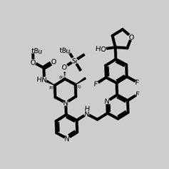 C[C@H]1CN(c2ccncc2NCc2ccc(F)c(-c3c(F)cc(C4(O)CCOC4)cc3F)n2)C[C@@H](NC(=O)OC(C)(C)C)[C@@H]1O[Si](C)(C)C(C)(C)C